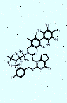 [2H]c1c([2H])c(-c2c([2H])c([2H])c(C(F)(F)F)c([2H])c2[2H])c([2H])c(C)c1CN(C(=O)Cn1c(SCc2ccc(F)cc2)nc(=O)c2c1CCC2)C([2H])([2H])C([2H])([2H])N(C([2H])([2H])C)C([2H])([2H])C